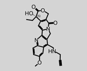 C#CCNCc1c2c(nc3ccc(OC)cc13)-c1cc3c(c(=O)n1C2)COC(=O)[C@]3(O)CC